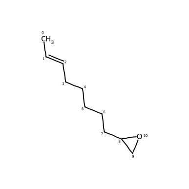 C/C=C/CCCCCC1CO1